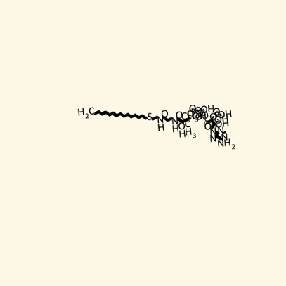 C=CCC=CCC=CCCCCCCCCSCCNC(=O)CCNC(=O)[C@H](O)C(C)(C)COP(=O)(O)OP(=O)(O)OC[C@H]1O[C@@H](n2cnc3c(N)ncnc32)[C@H](O)[C@@H]1OP(=O)(O)O